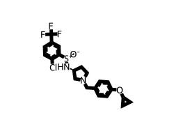 [O-][S@+](N[C@@H]1CCN(Cc2ccc(OC3CC3)cc2)C1)c1cc(C(F)(F)F)ccc1Cl